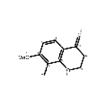 COc1ccc2c(c1C)OCCC2=O